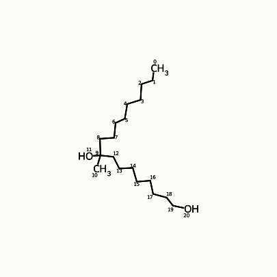 CCCCCCCCCC(C)(O)CCCCCCCCO